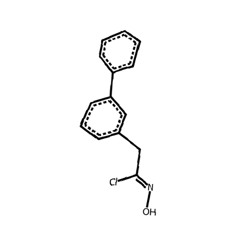 O/N=C(\Cl)Cc1cccc(-c2ccccc2)c1